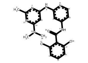 Cc1nc(Nc2cc(NC(=O)c3c(Cl)cccc3Cl)ccn2)cc(N(C)C)n1